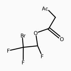 CC(=O)CC(=O)OC(F)C(F)(F)Br